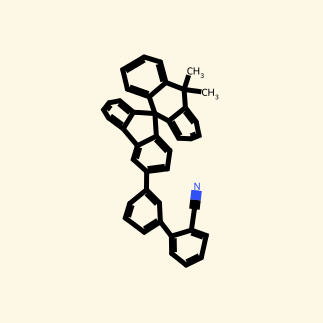 CC1(C)c2ccccc2C2(c3ccccc3-c3cc(-c4cccc(-c5ccccc5C#N)c4)ccc32)c2ccccc21